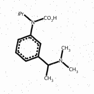 CC(c1cccc(N(C(=O)O)C(C)C)c1)N(C)C